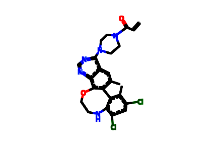 C=CC(=O)N1CCN(c2ncnc3c4c(c(C)cc23)-c2c(C)c(Cl)cc(Cl)c2NCCO4)CC1